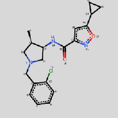 C[C@@H]1CN(Cc2ccccc2Cl)C[C@@H]1NC(=O)c1cc(C2CC2)on1